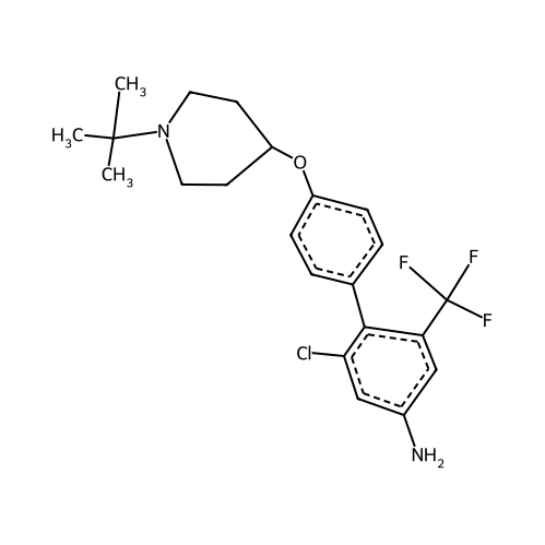 CC(C)(C)N1CCC(Oc2ccc(-c3c(Cl)cc(N)cc3C(F)(F)F)cc2)CC1